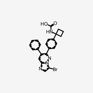 O=C(O)NC1(c2ccc(-c3nn4c(Br)cnc4cc3-c3ccccc3)cc2)CCC1